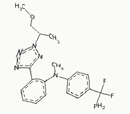 COCC(C)n1nnc(-c2ccccc2N(C)c2ccc(C(F)(F)P)cc2)n1